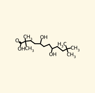 CC(C)(C)CCC(O)CCC(O)CCC(C)(C)C(=O)O